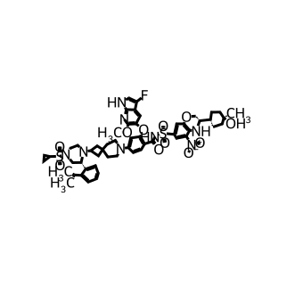 COc1nc2[nH]cc(F)c2cc1Oc1cc(N2CCC3(CC2)CC(N2CCN(S(=O)(=O)C4CC4)C[C@H]2c2ccccc2C(C)C)C3)ccc1C(=O)NS(=O)(=O)c1cc2c(c([N+](=O)[O-])c1)N[C@@H]([C@H]1CC[C@](C)(O)CC1)CO2